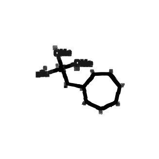 CCCC[Si]([CH]C1CCCCCC1)(OC)OC